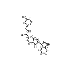 O=C(NCc1cccc(O)c1)c1ccc2[nH]c(-c3n[nH]c4ccccc34)nc2c1